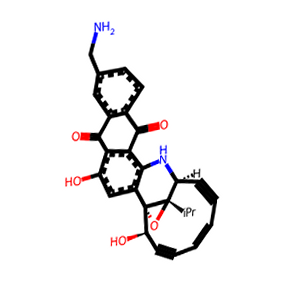 CC(C)[C@@]12O[C@]13c1cc(O)c4c(c1N[C@H]2C#C/C=C\C#C[C@H]3O)C(=O)c1ccc(CN)cc1C4=O